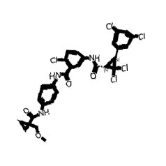 COCC1(C(=O)Nc2ccc(NC(=O)c3cc(NC(=O)[C@@H]4[C@@H](c5cc(Cl)cc(Cl)c5)C4(Cl)Cl)ccc3Cl)cc2)CC1